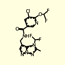 Cc1nn2ncc(CNC(=O)c3cnc(OC(F)F)c(Cl)c3)c2n1C(F)F